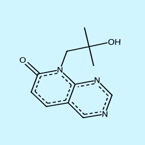 CC(C)(O)Cn1c(=O)ccc2cncnc21